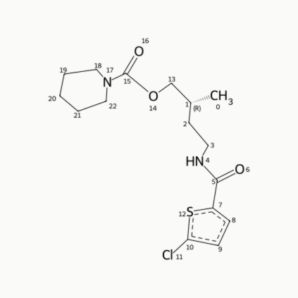 C[C@H](CCNC(=O)c1ccc(Cl)s1)COC(=O)N1CCCCC1